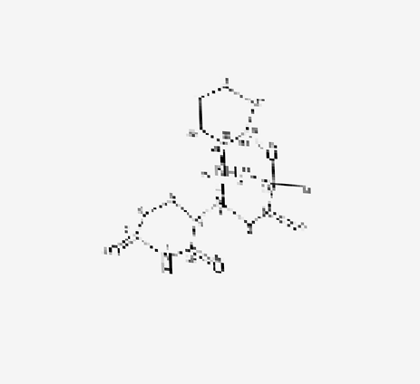 C=C(CNC1CCC(=O)NC1=O)C(C)(C)O[C@H]1CCCC[C@@H]1N